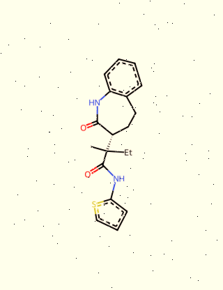 CCC(C)(C(=O)Nc1cccs1)[C@H]1CCc2ccccc2NC1=O